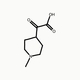 CN1CCC(C(=O)C(=O)O)CC1